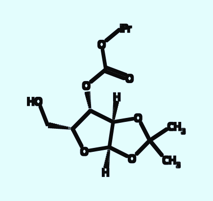 CC(C)OC(=O)O[C@@H]1[C@H]2OC(C)(C)O[C@H]2O[C@@H]1CO